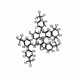 Cc1cc2c3c(c1)N(c1ccc(C(C)(C)C)cc1)c1cc4c(cc1B3c1c(oc3ccc(C(C)(C)C)cc13)N2Cc1ccc(C(C)(C)C)cc1-c1ccc(C(C)(C)C)cc1)C(C)(C)CCC4(C)C